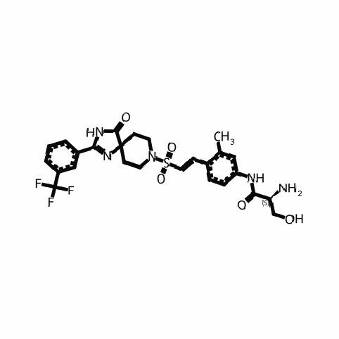 Cc1cc(NC(=O)[C@@H](N)CO)ccc1C=CS(=O)(=O)N1CCC2(CC1)N=C(c1cccc(C(F)(F)F)c1)NC2=O